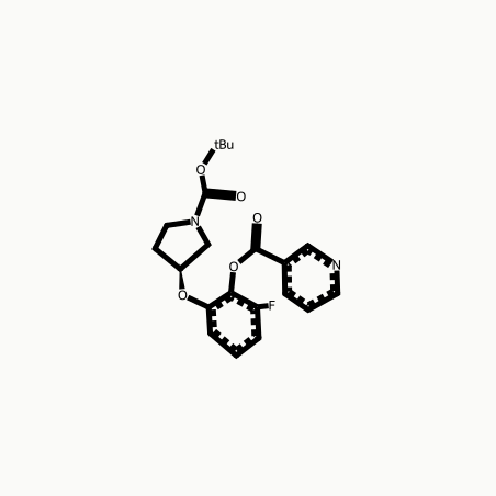 CC(C)(C)OC(=O)N1CC[C@H](Oc2cccc(F)c2OC(=O)c2cccnc2)C1